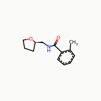 Cc1ccccc1C(=O)NC[C@H]1CCCO1